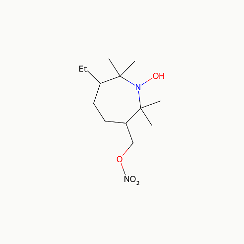 CCC1CCC(CO[N+](=O)[O-])C(C)(C)N(O)C1(C)C